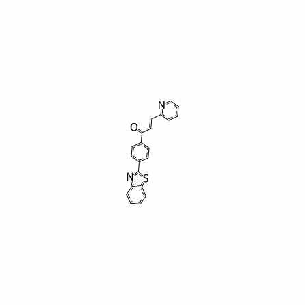 O=C(C=Cc1ccccn1)c1ccc(-c2nc3ccccc3s2)cc1